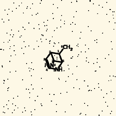 CC1C2C=CNC1C2N